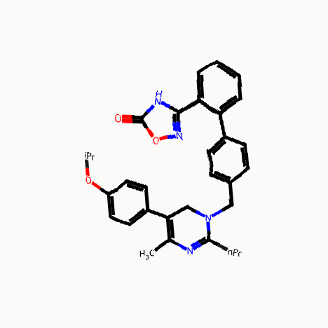 CCCC1=NC(C)=C(c2ccc(OC(C)C)cc2)CN1Cc1ccc(-c2ccccc2-c2noc(=O)[nH]2)cc1